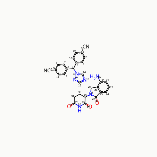 N#Cc1ccc(C(c2ccc(C#N)cc2)n2cncn2)cc1.Nc1cccc2c1CN(C1CCC(=O)NC1=O)C2=O